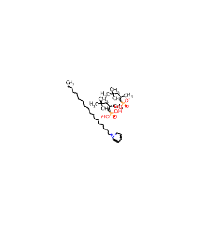 CC(CC(C)(C)C)CP(=O)(O)O.CC(CC(C)(C)C)CP(=O)([O-])O.CCCCCCCCCCCCCCCCCC[n+]1ccccc1